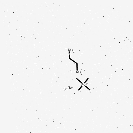 NCCN.[Br-].[Br-].[CH3][Pd+2]([CH3])([CH3])[CH3]